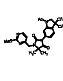 CSc1nccc(CN2C(=O)N(c3ccc4c(c3)N(C(C)=O)CC4(C)C)C(=O)C2(C)C)n1